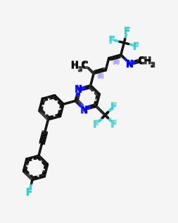 C=N/C(=C\C=C(/C)c1cc(C(F)(F)F)nc(-c2cccc(C#Cc3ccc(F)cc3)c2)n1)C(F)(F)F